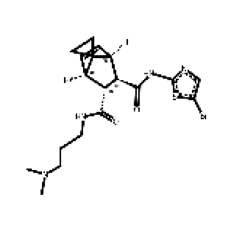 CN(C)CCCNC(=O)[C@H]1[C@H](C(=O)Nc2ncc(Br)s2)[C@@H]2C=C[C@H]1C21CC1